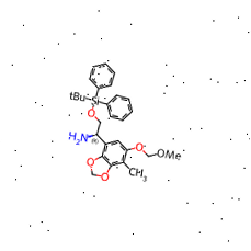 COCOc1cc([C@@H](N)CO[Si](c2ccccc2)(c2ccccc2)C(C)(C)C)c2c(c1C)OCO2